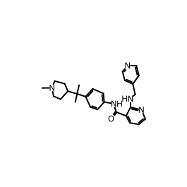 CN1CCC(C(C)(C)c2ccc(NC(=O)c3cccnc3NCc3ccncc3)cc2)CC1